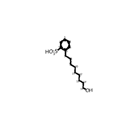 O=S(=O)(O)c1ccccc1CCCCCCCCCO